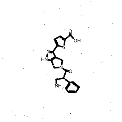 NCC(C(=O)N1Cc2[nH]nc(-c3ccc(C(=O)O)s3)c2C1)c1ccccc1